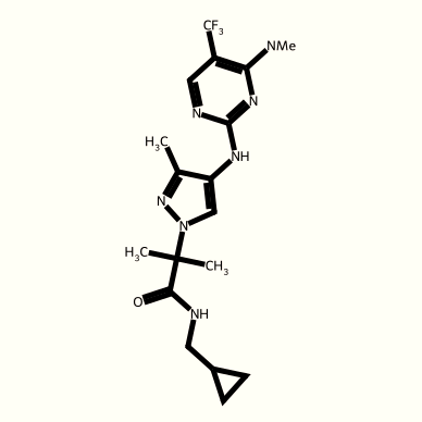 CNc1nc(Nc2cn(C(C)(C)C(=O)NCC3CC3)nc2C)ncc1C(F)(F)F